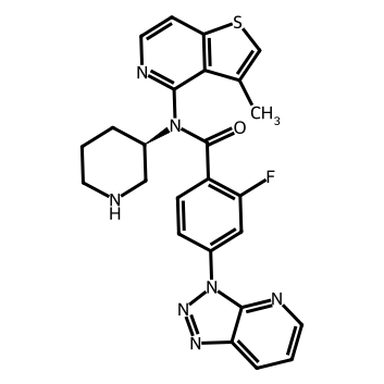 Cc1csc2ccnc(N(C(=O)c3ccc(-n4nnc5cccnc54)cc3F)[C@@H]3CCCNC3)c12